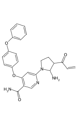 C=CC(=O)C1CCN(c2cc(Oc3ccc(Oc4ccccc4)cc3)c(C(N)=O)cn2)C1N